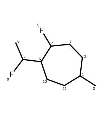 CC1CCC(F)C(C(C)F)CC1